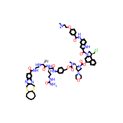 CC(C)[C@@H](NCCNC(=O)c1ccc2nc3c(nc2c1)CSC1CCCCCCCC1SC3)C(=O)N[C@H](CCCNC(N)=O)C(=O)Nc1ccc(COC(=O)N(C)C[C@@H]2C[C@@H](N3CCOCC3)CN2C(=O)Oc2cc3c(c4ccccc24)[C@H](CCl)CN3C(=O)c2cc3cc(NC(=O)c4ccc(OCCN(C)C)cc4)ccc3[nH]2)cc1